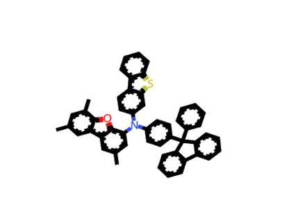 Cc1cc(C)c2oc3c(N(c4ccc(C5(c6ccccc6)c6ccccc6-c6ccccc65)cc4)c4ccc5c(c4)sc4ccccc45)cc(C)cc3c2c1